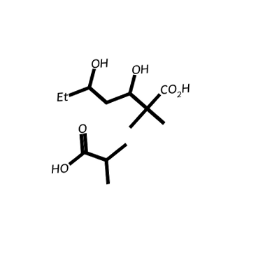 CC(C)C(=O)O.CCC(O)CC(O)C(C)(C)C(=O)O